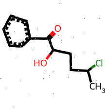 CC(Cl)CCC(O)C(=O)c1ccccc1